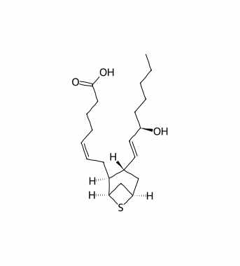 CCCCC[C@@H](O)/C=C/[C@@H]1C[C@@H]2C[C@@H](S2)[C@H]1C/C=C\CCCC(=O)O